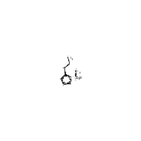 NC(=O)O.NCCc1cccs1